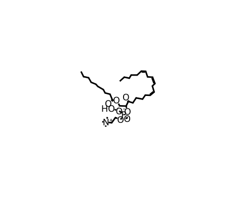 CCCCC/C=C\C/C=C\C/C=C\CCCCC(=O)C(OP(=O)([O-])OCC[N+](C)(C)C)[C@H](CO)OC(=O)CCCCCCCCC